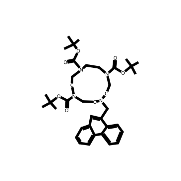 CC(C)(C)OC(=O)N1CCN(Cc2cc3ccccc3c3ccccc23)CCN(C(=O)OC(C)(C)C)CCN(C(=O)OC(C)(C)C)CC1